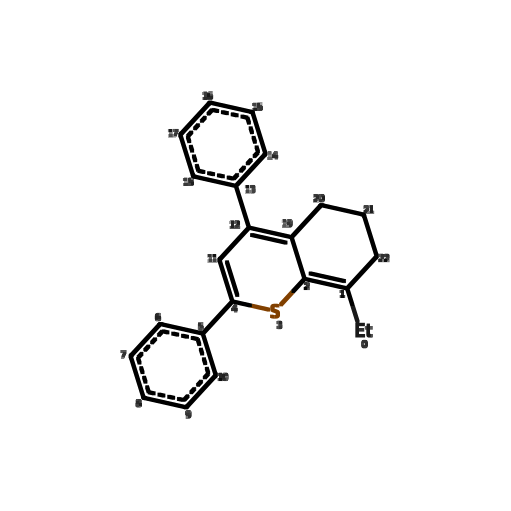 CCC1=C2SC(c3ccccc3)=CC(c3ccccc3)=C2CCC1